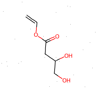 C=COC(=O)CC(O)CO